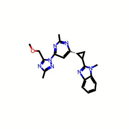 COCc1nc(C)nn1-c1cc([C@@H]2CC2c2nc3ccccc3n2C)nc(C)n1